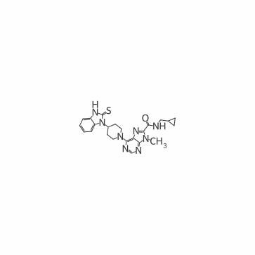 Cn1c(C(=O)NCC2CC2)nc2c(N3CCC(n4c(=S)[nH]c5ccccc54)CC3)ncnc21